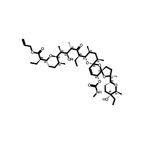 C=CCOC(=O)[C@H](CC)[C@H]1CC[C@H](C)[C@H]([C@@H](C)[C@H](O)[C@H](C)C(=O)[C@H](CC)[C@H]2O[C@]3(C=C[C@@H](OC(=O)NC)[C@]4(CC[C@@](C)([C@H]5CC[C@](O)(CC)[C@H](C)O5)O4)O3)[C@H](C)C[C@@H]2C)O1